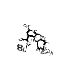 CC(C)(C)OC(=O)c1cc([N+](=O)[O-])nc(C(C)(C)C)c1NC1CCCN(C(=O)O)C1